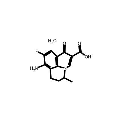 CC1CCc2c(N)c(F)cc3c(=O)c(C(=O)O)cn1c23.O